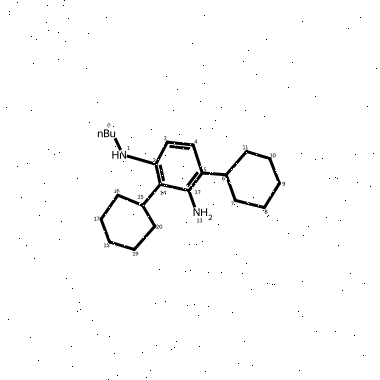 CCCCNc1ccc(C2CCCCC2)c(N)c1C1CCCCC1